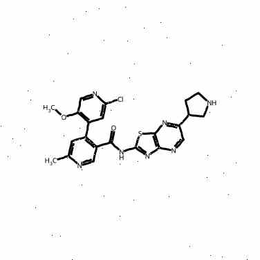 COc1cnc(Cl)cc1-c1cc(C)ncc1C(=O)Nc1nc2ncc(C3CCNC3)nc2s1